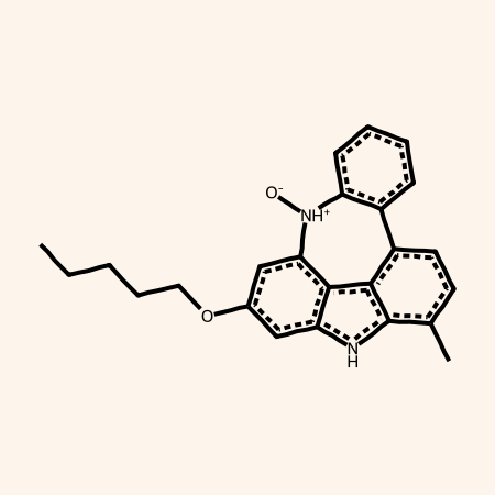 CCCCCOc1cc2c3c(c1)[nH]c1c(C)ccc(c13)-c1ccccc1[NH+]2[O-]